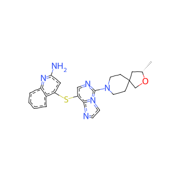 C[C@H]1CC2(CCN(c3ncc(Sc4cc(N)nc5ccccc45)c4nccn34)CC2)CO1